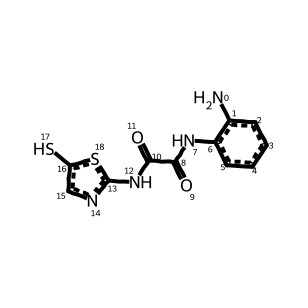 Nc1ccccc1NC(=O)C(=O)Nc1ncc(S)s1